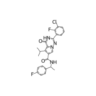 CC(C)c1c(C(=O)NC(C)c2ccc(F)cc2)cn2nc(-c3cccc(Cl)c3F)[nH]c(=O)c12